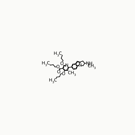 CCCCOC(=O)c1c(OCCCC)nc(-c2ccc3c(c2)cc2n3CC(NC)C2)c(C)c1OCCCC